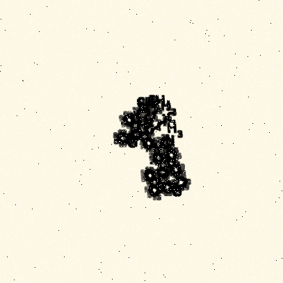 CCCCCCCC1(CCCCCCC)c2cc(N(c3ccncc3)c3ccc4c(c3)C3(c5ccccc5-c5ccccc53)c3cc5c(cc3-4)C3(c4ccccc4-c4ccccc43)c3ccc4oc6ccccc6c4c3-5)ccc2-c2c1c1c(c3c2oc2ccccc23)-c2ccccc2C1(CCCCCCC)CCCCCCC